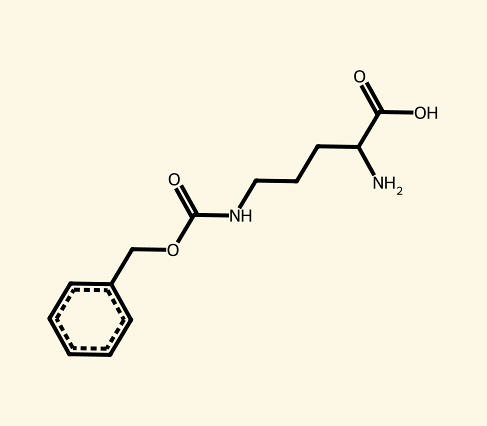 NC(CCCNC(=O)OCc1ccccc1)C(=O)O